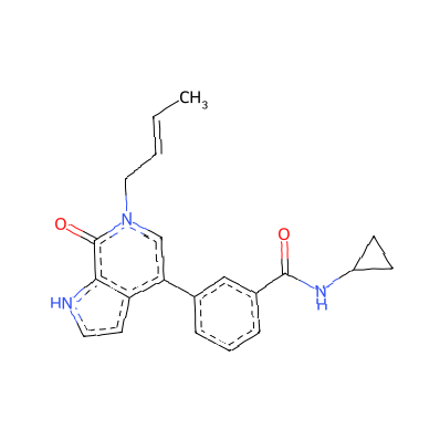 C/C=C/Cn1cc(-c2cccc(C(=O)NC3CC3)c2)c2cc[nH]c2c1=O